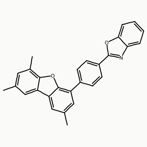 Cc1cc(C)c2oc3c(-c4ccc(-c5nc6ccccc6o5)cc4)cc(C)cc3c2c1